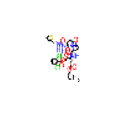 C=CCOC(=O)CC[C@H](NC(=O)[C@@H]1CCCN2C(=O)CC[C@H](NC(=O)NCCc3cccs3)C(=O)N12)C(=O)COC(=O)c1c(Cl)cccc1Cl